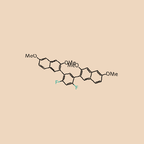 COc1ccc2cc(-c3cc(-c4cc5ccc(OC)cc5cc4OC)c(F)cc3F)c(OC)cc2c1